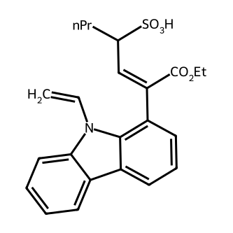 C=Cn1c2ccccc2c2cccc(C(=CC(CCC)S(=O)(=O)O)C(=O)OCC)c21